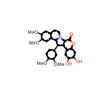 COc1ccc(-c2c3c4cc(O)c(O)cc4oc(=O)c3n3ccc4cc(OC)c(OC)cc4c23)cc1OC